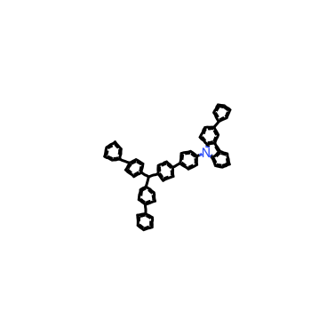 c1ccc(-c2ccc(C(c3ccc(-c4ccccc4)cc3)c3ccc(-c4ccc(-n5c6ccccc6c6cc(-c7ccccc7)ccc65)cc4)cc3)cc2)cc1